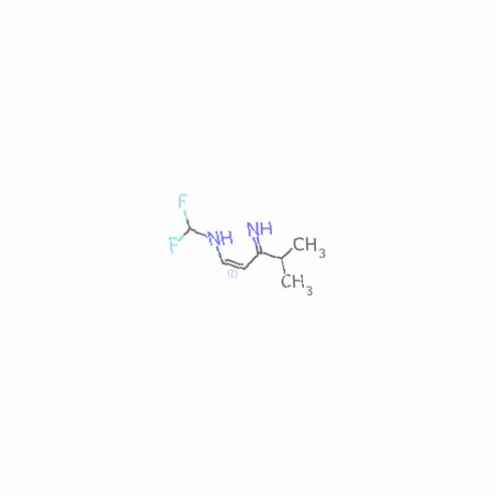 CC(C)C(=N)/C=C\NC(F)F